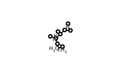 CC1(C)c2ccccc2-c2cc(-c3cc(-c4ccc(-c5ccc6c(c5)c5ccccc5n6-c5ccccc5)c5ccccc45)nc(-c4ccccc4)n3)ccc21